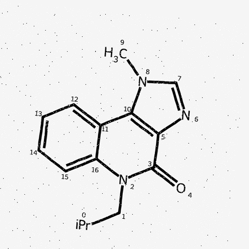 CC(C)Cn1c(=O)c2ncn(C)c2c2ccccc21